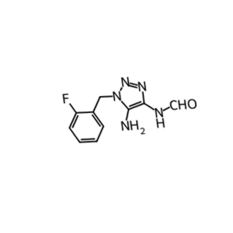 Nc1c(NC=O)nnn1Cc1ccccc1F